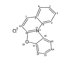 [Cl-].c1ccc2c(c1)ccc1oc3ccccc3[n+]12